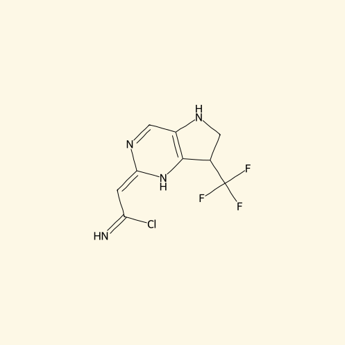 N=C(Cl)/C=C1/N=CC2=C(N1)C(C(F)(F)F)CN2